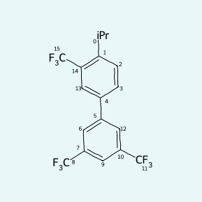 CC(C)c1ccc(-c2cc(C(F)(F)F)cc(C(F)(F)F)c2)cc1C(F)(F)F